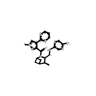 CC1C2CC(C2)N(C(=O)c2nn(C)cc2-c2ncccn2)C1CNc1cnc(C(F)(F)F)cn1